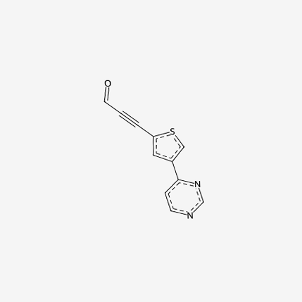 O=CC#Cc1cc(-c2ccncn2)cs1